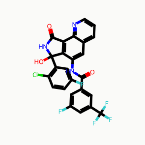 O=C(Nc1cc2cccnc2c2c1C(O)(c1cc(F)ccc1Cl)NC2=O)c1cc(F)cc(C(F)(F)F)c1